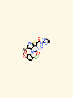 N#Cc1cnc2sc(C(=O)Nc3ncccn3)c3c2c1N(c1c(Cl)ccc2c1OCO2)C(=O)N3